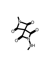 CBN1C(=O)C2(C(=O)N(C)C2=O)C1=O